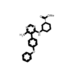 COC(=O)[C@@H]1CCCC(Nc2ncnc(N)c2-c2ccc(Oc3ccccc3)cc2)C1